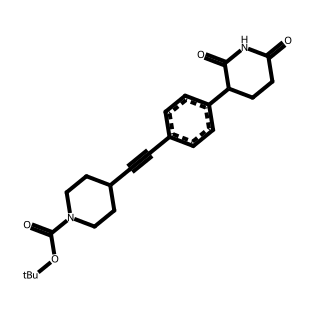 CC(C)(C)OC(=O)N1CCC(C#Cc2ccc(C3CCC(=O)NC3=O)cc2)CC1